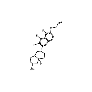 C=CCOc1ccc2cc([C@@H]3CC[C@@H]4CC(CCCC)CCC4C3)c(F)c(F)c2c1F